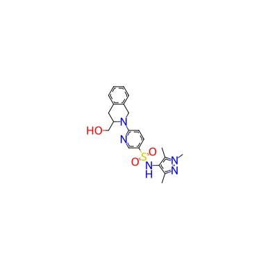 Cc1nn(C)c(C)c1NS(=O)(=O)c1ccc(N2Cc3ccccc3CC2CO)nc1